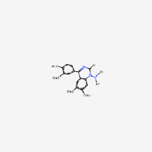 CCC1N=C(c2ccc(OC)c(OC)c2)c2cc(OC)c(OC)cc2N1N(CC)CC